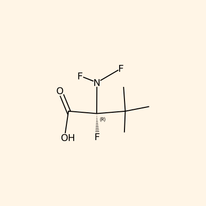 CC(C)(C)[C@@](F)(C(=O)O)N(F)F